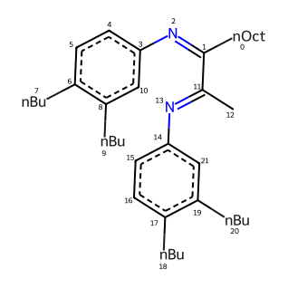 CCCCCCCCC(=Nc1ccc(CCCC)c(CCCC)c1)C(C)=Nc1ccc(CCCC)c(CCCC)c1